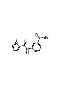 CCCC(=O)c1cccc(NC(=O)c2cccn2C)c1